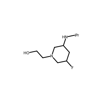 CC(C)NC1CC(F)CN(CCO)C1